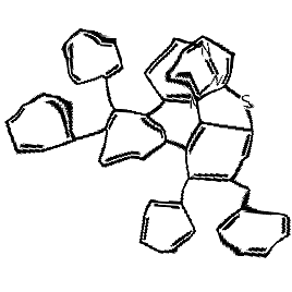 c1ccc(-c2ccc(-c3c(-c4ccccc4)c(-c4ccccc4)cc4sc5ccccc5c34)c(-c3ccnnn3)c2-c2ccccc2)cc1